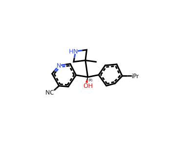 CC(C)c1ccc([C@](O)(c2cncc(C#N)c2)C2(C)CNC2)cc1